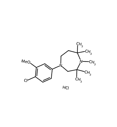 COc1cc(N2CCC(C)(C)N(C)C(C)(C)C2)ccc1Cl.Cl